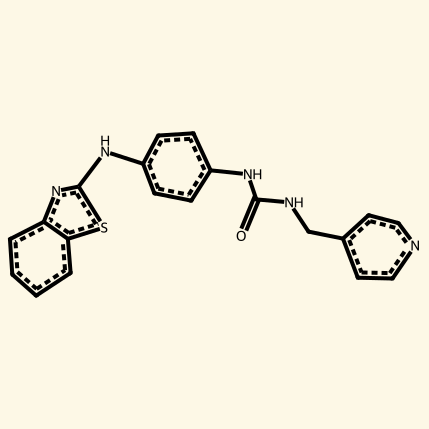 O=C(NCc1ccncc1)Nc1ccc(Nc2nc3ccccc3s2)cc1